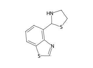 [c]1nc2c(C3NCCS3)cccc2s1